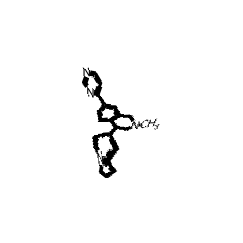 CN1Cc2cc(-c3ccncn3)ccc2C(c2ccn3cccc3c2)C1